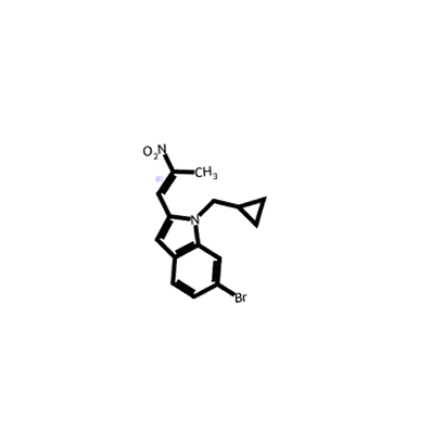 C/C(=C\c1cc2ccc(Br)cc2n1CC1CC1)[N+](=O)[O-]